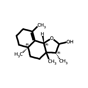 CC1=C2[C@@H]3OC(O)[C@H](C)C3(C)CC[C@@]2(C)CCC1